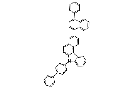 c1ccc(-c2ccc(-n3c4ccccc4c4c5ccc(-c6ccc(-c7ccccc7)c7ccccc67)cc5ccc43)cc2)cc1